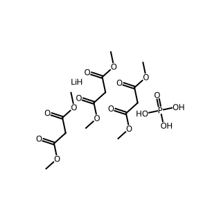 COC(=O)CC(=O)OC.COC(=O)CC(=O)OC.COC(=O)CC(=O)OC.O=P(O)(O)O.[LiH]